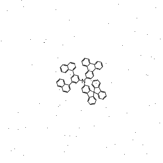 c1ccc2c(c1)-c1ccccc1C21c2ccccc2-c2ccc(N(c3cc(-c4cccc5ccccc45)cc(-c4cccc5ccccc45)c3)c3ccc4c5ccccc5c5ccccc5c4c3)cc21